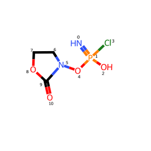 N=P(O)(Cl)ON1CCOC1=O